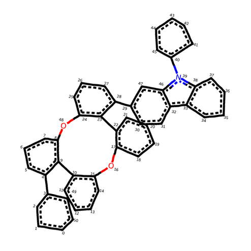 c1ccc(-c2cccc3c2-c2ccccc2Oc2ccccc2-c2c(cccc2-c2ccc4c5ccccc5n(-c5ccccc5)c4c2)O3)cc1